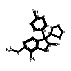 COc1ccc2c(c1C)NC(=O)C2(c1ccc(O)cc1)C1CCCC1